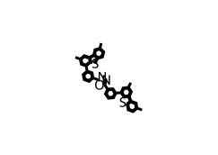 Cc1ccc2sc3c(-c4cccc(-c5nnc(-c6cccc(-c7cc(C)cc8c7sc7ccc(C)cc78)c6)o5)c4)cc(C)cc3c2c1